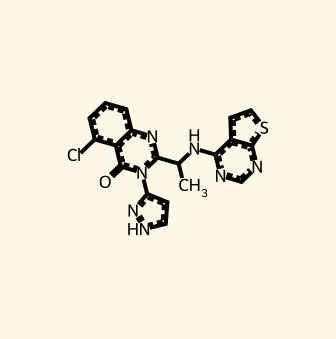 CC(Nc1ncnc2sccc12)c1nc2cccc(Cl)c2c(=O)n1-c1cc[nH]n1